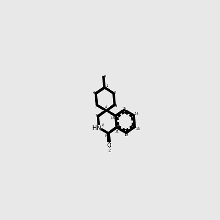 CC1CCC2(CC1)CNC(=O)c1ccccc12